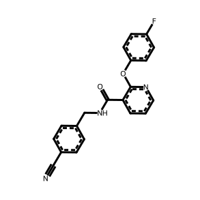 N#Cc1ccc(CNC(=O)c2cccnc2Oc2ccc(F)cc2)cc1